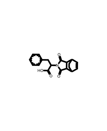 O=C(O)C(Cc1ccccc1)N1C(=O)C2C3C=CC(CC3)C2C1=O